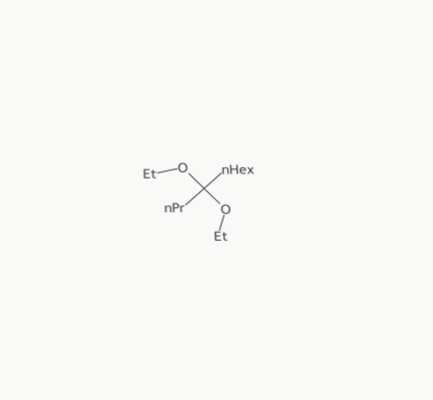 CCCCCCC(CCC)(OCC)OCC